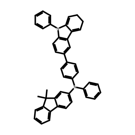 CC1(C)c2ccccc2-c2ccc(N(c3ccccc3)c3ccc(-c4ccc5c(c4)c4c(n5-c5ccccc5)=CCCC=4)cc3)cc21